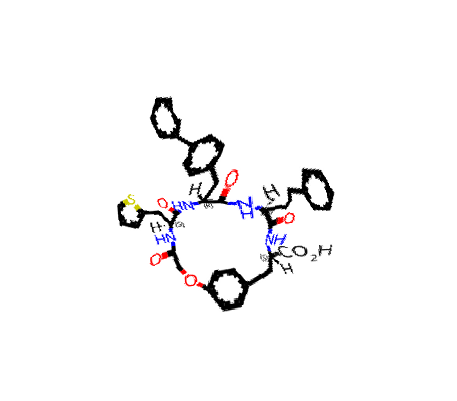 O=C1COc2ccc(cc2)C[C@@H](C(=O)O)NC(=O)[C@H](CCc2ccccc2)NC(=O)[C@@H](Cc2ccc(-c3ccccc3)cc2)NC(=O)[C@H](Cc2cccs2)N1